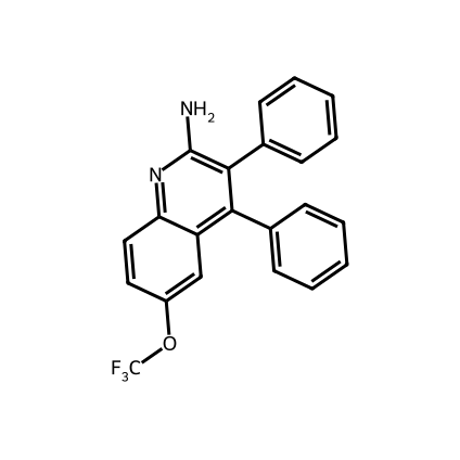 Nc1nc2ccc(OC(F)(F)F)cc2c(-c2ccccc2)c1-c1ccccc1